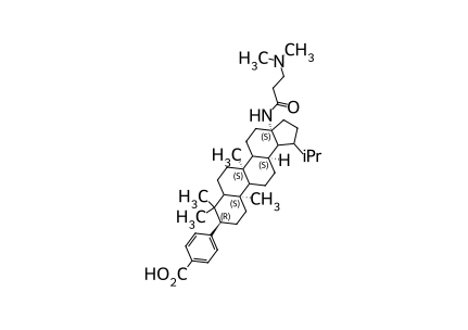 CC(C)C1CC[C@]2(NC(=O)CCN(C)C)CCC3[C@H](CCC4[C@@]3(C)CCC3C(C)(C)[C@H](c5ccc(C(=O)O)cc5)CC[C@@]34C)C12